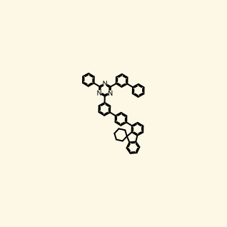 c1ccc(-c2cccc(-c3nc(-c4ccccc4)nc(-c4cccc(-c5ccc(-c6cccc7c6C6(CCCCC6)c6ccccc6-7)cc5)c4)n3)c2)cc1